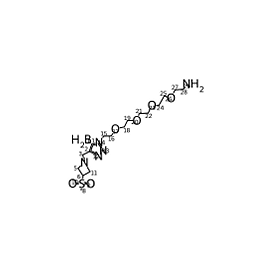 Bc1c(CN2CC(S(C)(=O)=O)C2)nnn1CCOCCOCCOCCOCCN